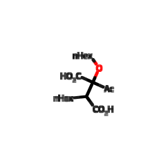 CCCCCCOC(C(C)=O)(C(=O)O)C(CCCCCC)C(=O)O